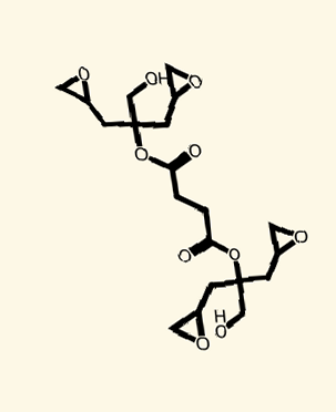 O=C(CCC(=O)OC(CO)(CC1CO1)CC1CO1)OC(CO)(CC1CO1)CC1CO1